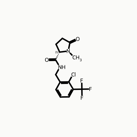 CN1C(=O)CC[C@H]1C(=O)NCc1cccc(C(F)(F)F)c1Cl